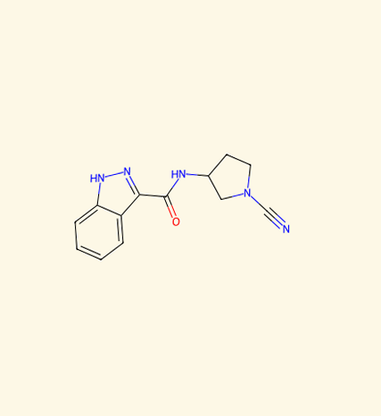 N#CN1CCC(NC(=O)c2n[nH]c3ccccc23)C1